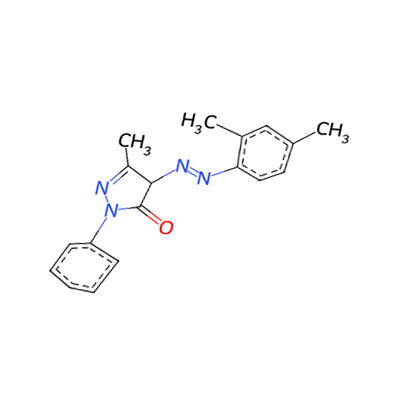 CC1=NN(c2ccccc2)C(=O)C1N=Nc1ccc(C)cc1C